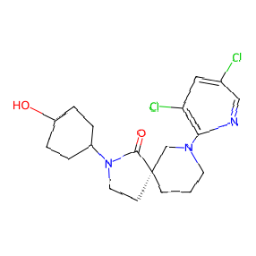 O=C1N(C2CCC(O)CC2)CC[C@]12CCCN(c1ncc(Cl)cc1Cl)C2